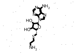 NCCSC[C@H]1O[C@@H](n2cnc3c(N)ncnc32)C(O)C1O